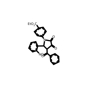 CCOC(=O)c1ccc(N2C(=O)C(=O)C(C(=O)c3ccccc3)C2c2ccccc2[N+](=O)[O-])cc1